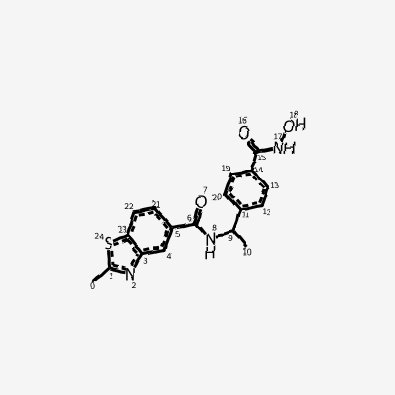 Cc1nc2cc(C(=O)NC(C)c3ccc(C(=O)NO)cc3)ccc2s1